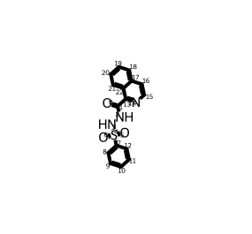 O=C(NNS(=O)(=O)c1ccccc1)c1nccc2ccccc12